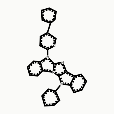 c1ccc(-c2ccc(-n3c4ccccc4n4c3nc3c5ccccc5n(-c5ccccc5)c34)nc2)cc1